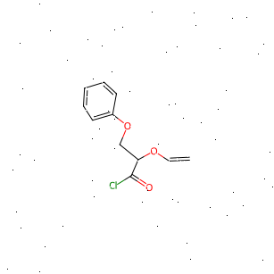 C=COC(COc1ccccc1)C(=O)Cl